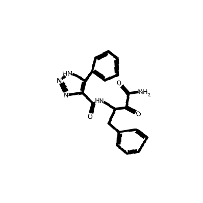 NC(=O)C(=O)C(Cc1ccccc1)NC(=O)c1nn[nH]c1-c1ccccc1